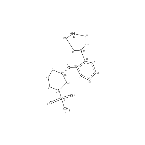 CS(=O)(=O)N1CCC[C@H](Oc2ccccc2N2CCNCC2)C1